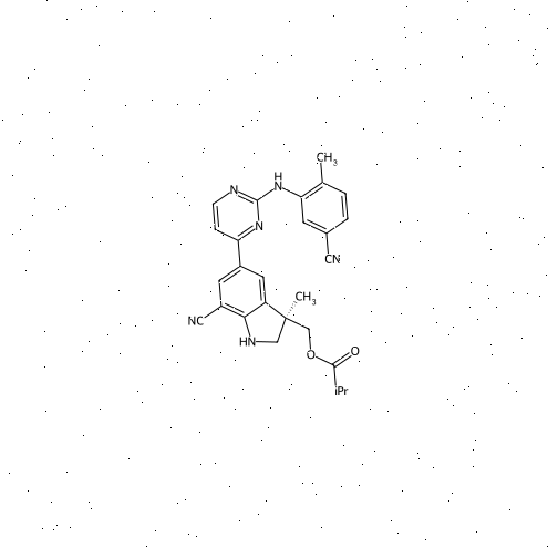 Cc1ccc(C#N)cc1Nc1nccc(-c2cc(C#N)c3c(c2)[C@@](C)(COC(=O)C(C)C)CN3)n1